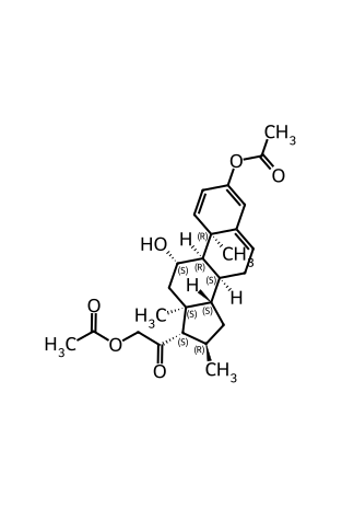 CC(=O)OCC(=O)[C@H]1[C@H](C)C[C@H]2[C@@H]3CC=C4C=C(OC(C)=O)C=C[C@]4(C)[C@@H]3[C@@H](O)C[C@@]21C